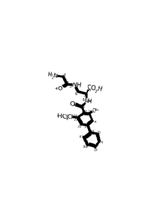 Cl.NCC(=O)NC[C@H](NC(=O)c1c(Cl)cc(-c2ccccc2)cc1Cl)C(=O)O